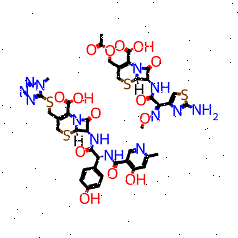 CO/N=C(\C(=O)N[C@@H]1C(=O)N2C(C(=O)O)=C(COC(C)=O)CS[C@H]12)c1csc(N)n1.Cc1cc(O)c(C(=O)N[C@@H](C(=O)N[C@@H]2C(=O)N3C(C(=O)O)=C(CSc4nnnn4C)CS[C@H]23)c2ccc(O)cc2)cn1